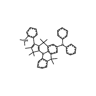 CC1=C(c2ccccc2[SiH](C)C)C2=C(B3c4ccccc4C(C)(C)c4cc(N(c5ccccc5)c5ccccc5)cc(c43)C2(C)C)C1(C)C